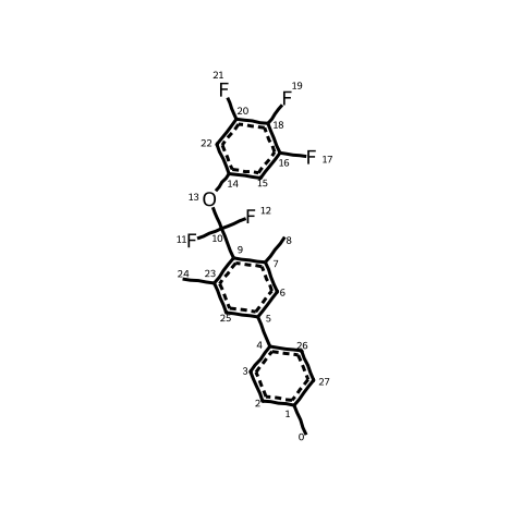 Cc1ccc(-c2cc(C)c(C(F)(F)Oc3cc(F)c(F)c(F)c3)c(C)c2)cc1